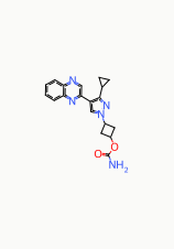 NC(=O)OC1CC(n2cc(-c3cnc4ccccc4n3)c(C3CC3)n2)C1